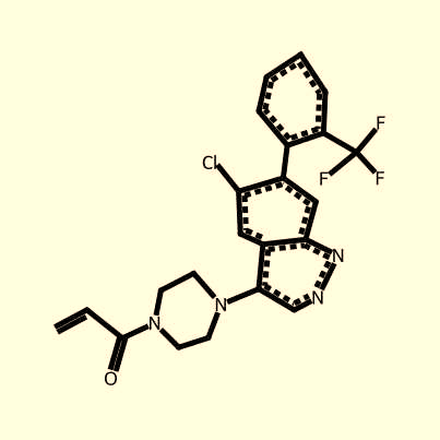 C=CC(=O)N1CCN(c2cnnc3cc(-c4ccccc4C(F)(F)F)c(Cl)cc23)CC1